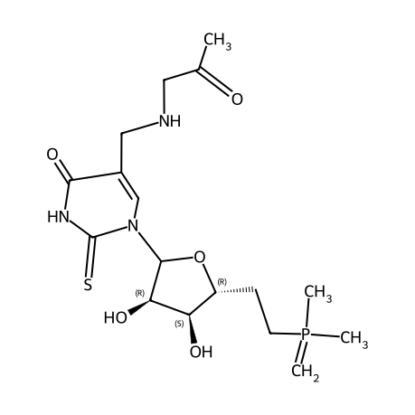 C=P(C)(C)CC[C@H]1OC(n2cc(CNCC(C)=O)c(=O)[nH]c2=S)[C@H](O)[C@@H]1O